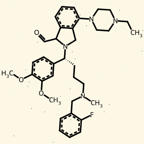 CCN1CCN(c2cccc3c2CN([C@H](CCCN(C)Cc2ccccc2F)c2ccc(OC)c(OC)c2)C3C=O)CC1